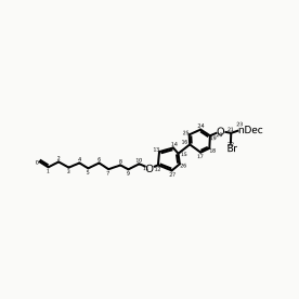 C=CCCCCCCCCCOc1ccc(-c2ccc(OC(Br)CCCCCCCCCC)cc2)cc1